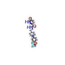 O=C(NCCC1CCN(c2ccc(OC(F)(F)F)cc2)CC1)c1ccc(=O)[nH]c1